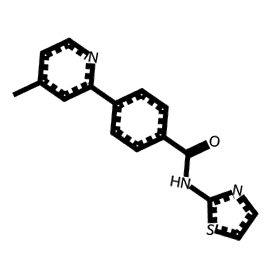 Cc1ccnc(-c2ccc(C(=O)Nc3nccs3)cc2)c1